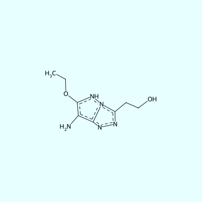 CCOc1[nH]n2c(CCO)nnc2c1N